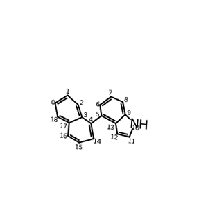 c1ccc2c(-c3cccc4[nH]ccc34)cccc2c1